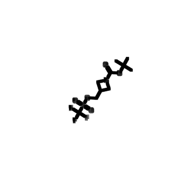 CC(C)(C)OC(=O)N1CC(COS(=O)(=O)C(F)(F)F)C1